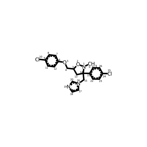 CN1OC(COc2ccc(Cl)cc2)CC1(Cn1ccnc1)c1ccc(Cl)cc1